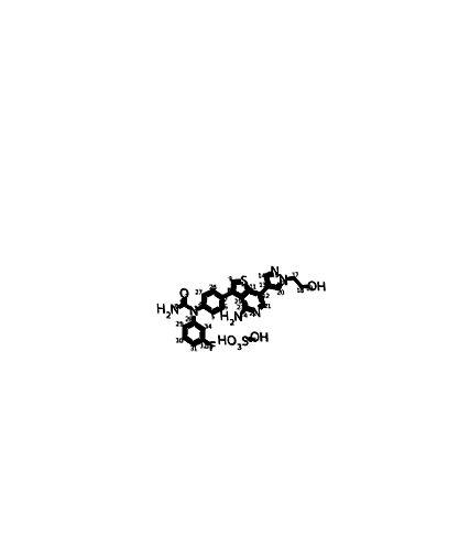 NC(=O)N(c1ccc(-c2csc3c(-c4cnn(CCO)c4)cnc(N)c23)cc1)c1cccc(F)c1.O=S(=O)(O)O